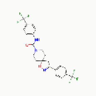 O=C(Nc1ccc(C(F)(F)F)cc1)N1CCC2(CC1)CC(c1ccc(C(F)(F)F)cc1)=NO2